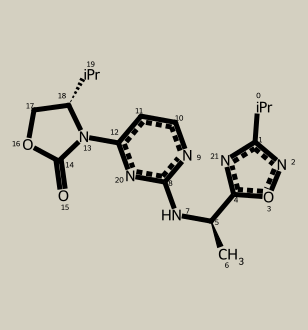 CC(C)c1noc([C@@H](C)Nc2nccc(N3C(=O)OC[C@@H]3C(C)C)n2)n1